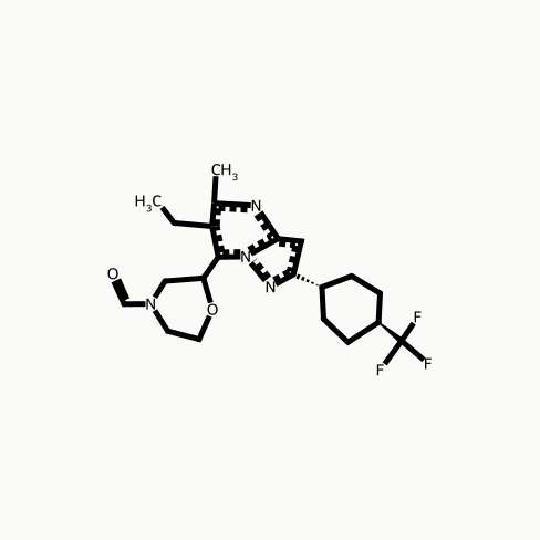 CCc1c(C)nc2cc([C@H]3CC[C@H](C(F)(F)F)CC3)nn2c1C1CN(C=O)CCO1